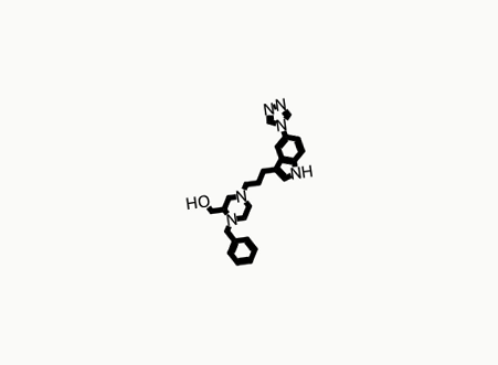 OCC1CN(CCCc2c[nH]c3ccc(-n4cnnc4)cc23)CCN1Cc1ccccc1